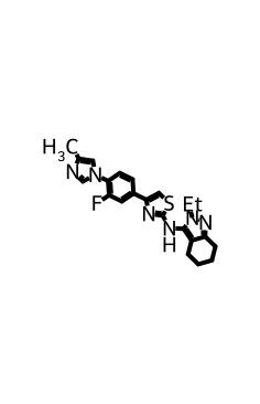 CCn1nc2c(c1Nc1nc(-c3ccc(-n4cnc(C)c4)c(F)c3)cs1)CCCC2